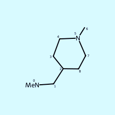 CNCC1CCN(C)CC1